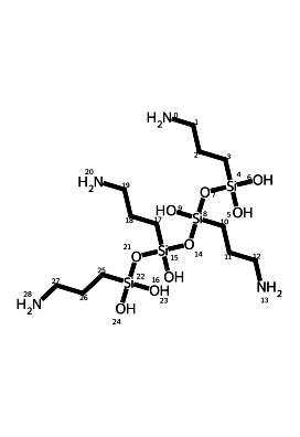 NCCC[Si](O)(O)O[Si](O)(CCCN)O[Si](O)(CCCN)O[Si](O)(O)CCCN